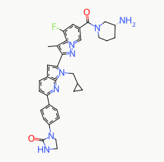 Cc1c(-c2cc3ccc(-c4ccc(N5CCNC5=O)cc4)nc3n2CC2CC2)nn2cc(C(=O)N3CCC[C@@H](N)C3)cc(F)c12